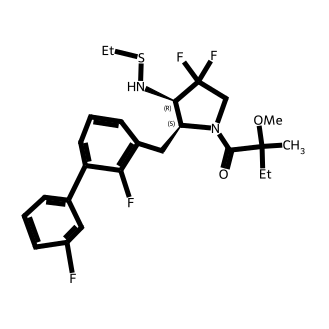 CCSN[C@@H]1[C@H](Cc2cccc(-c3cccc(F)c3)c2F)N(C(=O)C(C)(CC)OC)CC1(F)F